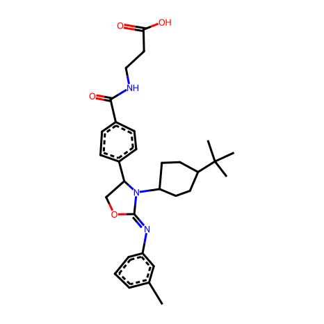 Cc1cccc(N=C2OCC(c3ccc(C(=O)NCCC(=O)O)cc3)N2C2CCC(C(C)(C)C)CC2)c1